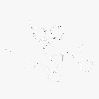 CCCCC1(OCCOCCO)c2ccccc2-c2c1c1c(c3cc(OC)c(N4CCOCC4)cc23)OC(c2ccc(F)cc2)(c2ccc(OC)cc2)C=C1